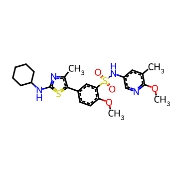 COc1ccc(-c2sc(NC3CCCCC3)nc2C)cc1S(=O)(=O)Nc1cnc(OC)c(C)c1